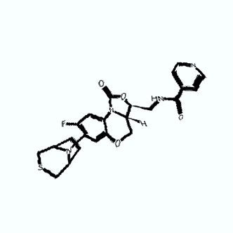 O=C(NC[C@@H]1OC(=O)N2c3cc(F)c(N4C5CCC4CSC5)cc3OC[C@@H]12)c1ccncc1